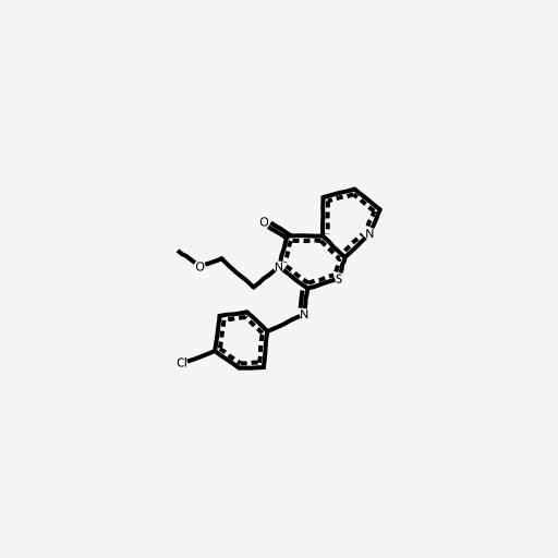 COCCn1c(=Nc2ccc(Cl)cc2)sc2ncccc2c1=O